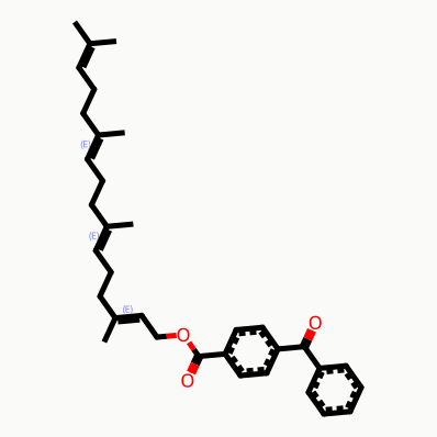 CC(C)=CCC/C(C)=C/CC/C(C)=C/CC/C(C)=C/COC(=O)c1ccc(C(=O)c2ccccc2)cc1